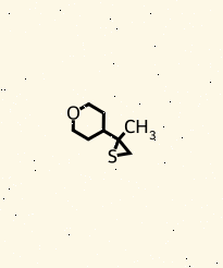 CC1(C2CCOCC2)CS1